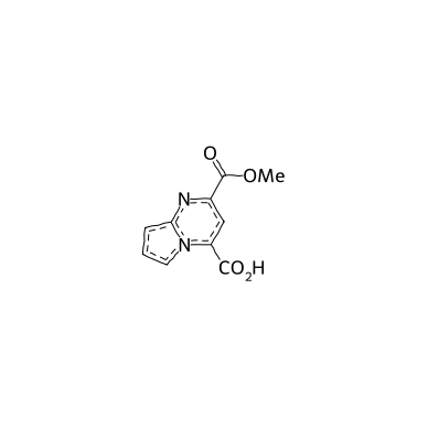 COC(=O)c1cc(C(=O)O)n2cccc2n1